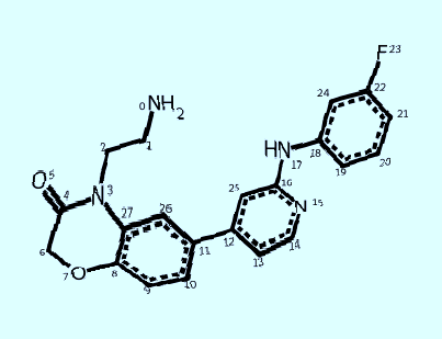 NCCN1C(=O)COc2ccc(-c3ccnc(Nc4cccc(F)c4)c3)cc21